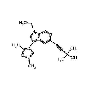 CCn1cc(-c2cn(C)nc2N)c2cc(C#CC(C)(C)O)ncc21